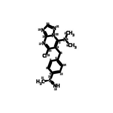 CN(C)c1c(Cc2ccc([S@](C)=N)cc2)c(Cl)nc2ncnn12